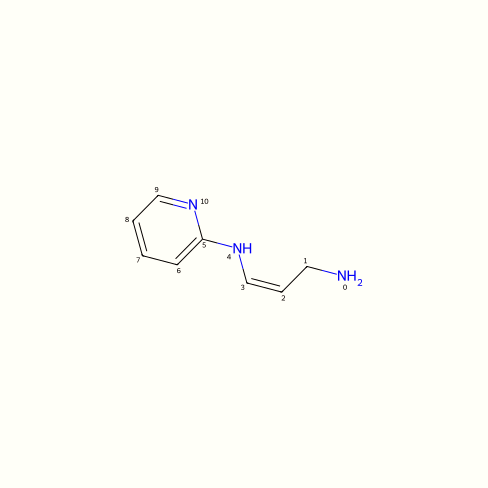 NC/C=C\Nc1ccccn1